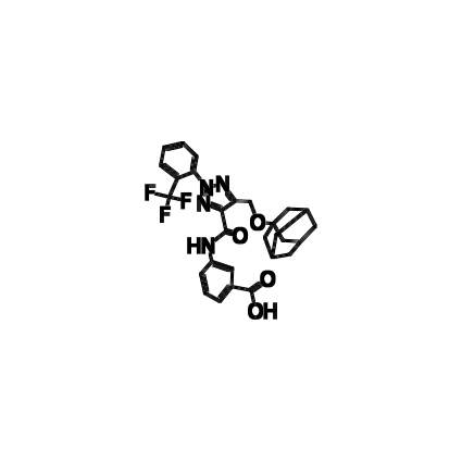 O=C(O)c1cccc(NC(=O)c2nn(-c3ccccc3C(F)(F)F)nc2COC23CC4CC(CC(C4)C2)C3)c1